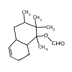 CC1CC2C=CCCC2C(C)(OC=O)C1(C)C